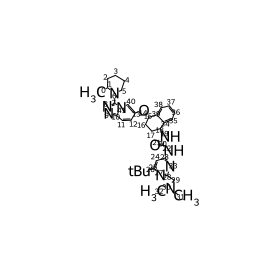 CC1CCCCN1c1nnc2ccc(O[C@@H]3CC[C@H](NC(=O)Nc4cc(C(C)(C)C)nc(CN(C)C)n4)c4ccccc43)cn12